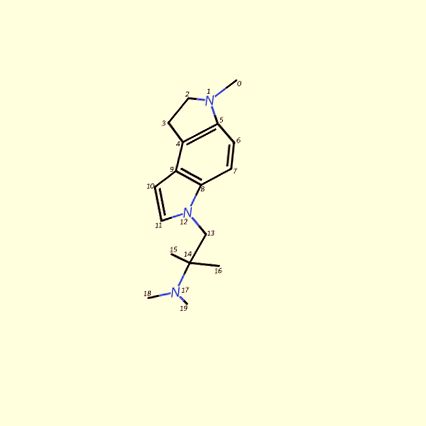 CN1CCc2c1ccc1c2ccn1CC(C)(C)N(C)C